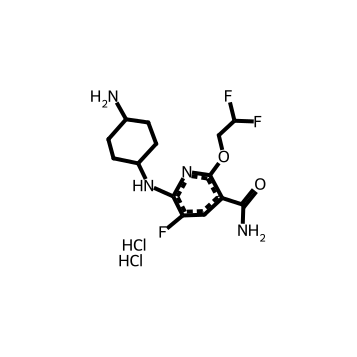 Cl.Cl.NC(=O)c1cc(F)c(NC2CCC(N)CC2)nc1OCC(F)F